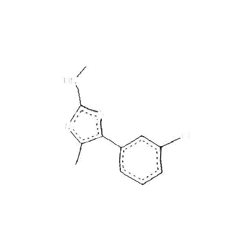 CNc1nc(C)c(-c2cccc(Cl)c2)s1